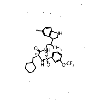 CC(CNC(=O)[C@H](CC1CCCCC1)NS(=O)(=O)c1cccc(OC(F)(F)F)c1)C1CNc2ccc(F)cc21